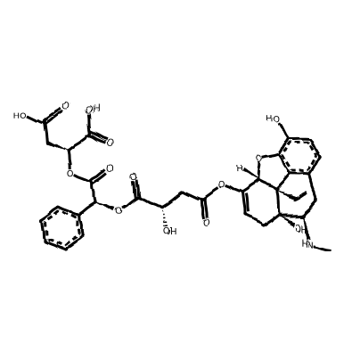 CC[C@]12c3c4ccc(O)c3O[C@H]1C(OC(=O)C[C@H](O)C(=O)O[C@H](C(=O)O[C@@H](CC(=O)O)C(=O)O)c1ccccc1)=CC[C@@]2(O)[C@H](NC)C4